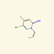 C/C=C\n1cc(Br)c(C)cc1=N